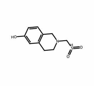 O=[SH](=O)CN1CCc2cc(O)ccc2C1